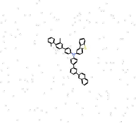 Cc1ccccc1-c1ccc(-c2ccc(N(c3ccc(-c4cccc(-c5ccc6ccccc6c5)c4)cc3)c3ccc4sc5ccccc5c4c3)cc2)cc1C